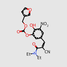 CCN(CC)C(=O)C(C#N)=Cc1cc(OC(=O)OCc2ccoc2)c(O)c([N+](=O)[O-])c1